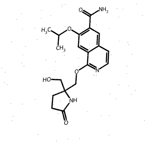 CC(C)Oc1cc2c(OCC3(CO)CCC(=O)N3)nccc2cc1C(N)=O